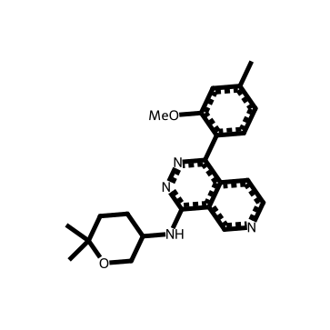 COc1cc(C)ccc1-c1nnc(NC2CCC(C)(C)OC2)c2cnccc12